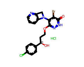 Cl.O=c1[nH]nc(OCC[C@@H](O)c2ccc(Cl)cc2)c(N2Cc3ncccc32)c1Br